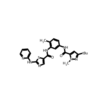 Cc1ccc(NC(=O)c2cc(C(C)(C)C)nn2C)cc1NC(=O)c1cnc(Nc2ccccn2)s1